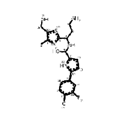 Cc1nc(C(CCN)NC(O)c2ccc(-c3ccc(Cl)c(F)c3)[nH]2)sc1CO